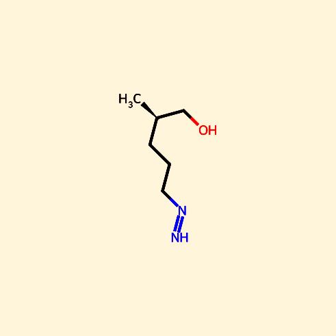 C[C@@H](CO)CCCN=N